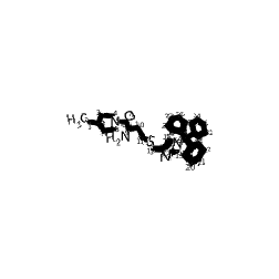 CCC1CCN(C(=O)[C@@H](N)CCSCc2cn(C(c3ccccc3)(c3ccccc3)c3ccccc3)cn2)CC1